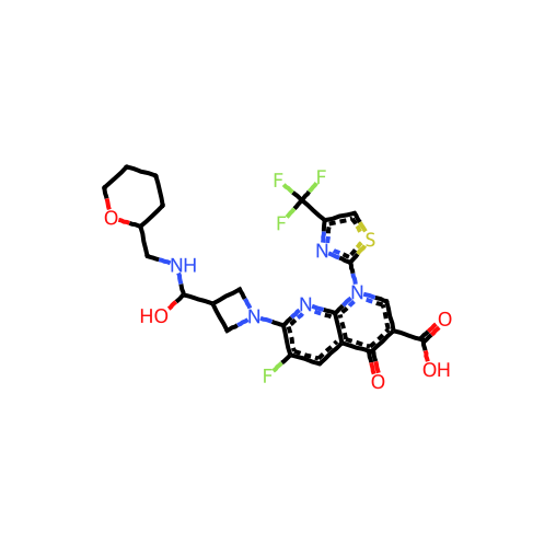 O=C(O)c1cn(-c2nc(C(F)(F)F)cs2)c2nc(N3CC(C(O)NCC4CCCCO4)C3)c(F)cc2c1=O